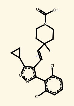 CC1(/C=C/c2c(-c3c(Cl)cccc3Cl)noc2C2CC2)CCN(C(=O)O)CC1